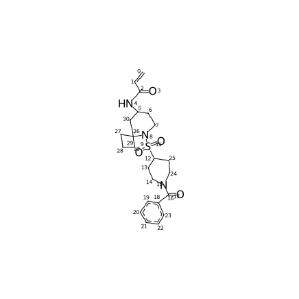 C=CC(=O)NC1CCN(S(=O)(=O)C2CCN(C(=O)c3ccccc3)CC2)C2(CCC2)C1